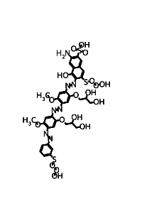 COc1cc(N=Nc2cc(OCC(O)CO)c(N=Nc3c(SOOO)cc4cc(S(=O)(=O)O)c(N)cc4c3O)cc2OC)c(OCC(O)CO)cc1N=Nc1cccc(SOOO)c1